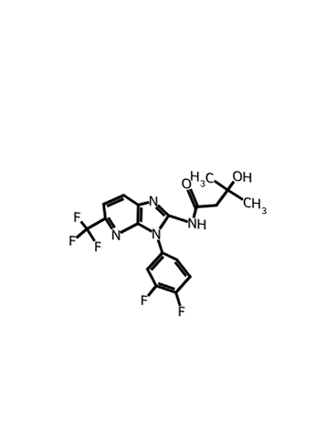 CC(C)(O)CC(=O)Nc1nc2ccc(C(F)(F)F)nc2n1-c1ccc(F)c(F)c1